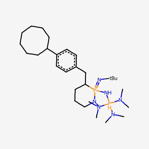 CN1CCCC(Cc2ccc(C3CCCCCCC3)cc2)P1(=NC(C)(C)C)N[PH](N(C)C)(N(C)C)N(C)C